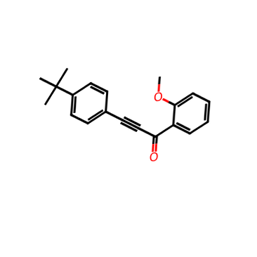 COc1ccccc1C(=O)C#Cc1ccc(C(C)(C)C)cc1